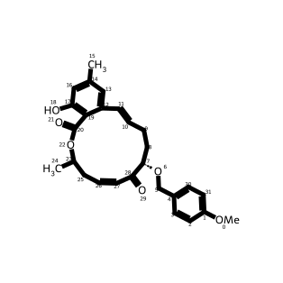 COc1ccc(CO[C@H]2CC/C=C/c3cc(C)cc(O)c3C(=O)OC(C)C/C=C\C2=O)cc1